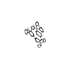 c1ccc(-c2c3ccccc3c(-c3ccc(C4(c5cccc(-c6cccc7c6sc6ccccc67)c5)c5ccccc5-c5ccccc54)cc3)c3ccccc23)cc1